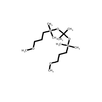 COCCC[Si](C)(C)OC(C)(C)O[Si](C)(C)CCCOC